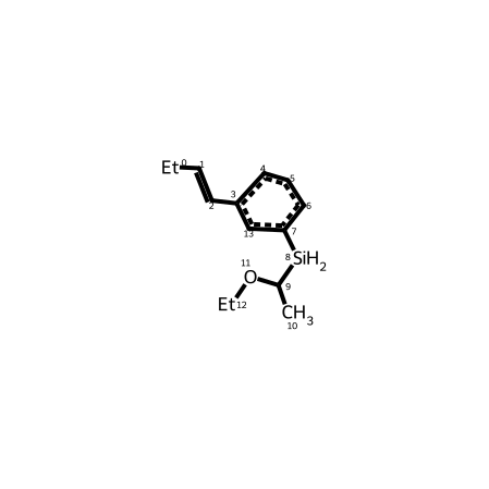 CCC=Cc1cccc([SiH2]C(C)OCC)c1